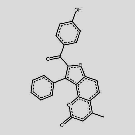 Cc1cc(=O)oc2c1ccc1oc(C(=O)c3ccc(O)cc3)c(-c3ccccc3)c12